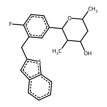 CC1CC(O)C(C)C(c2ccc(F)c(Cc3cc4ccccc4s3)c2)O1